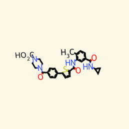 Cc1ccc(C(=O)NC2CC2)cc1NC(=O)c1ccc(-c2ccc(C(=O)N3CCN(C(=O)O)CC3)cc2)s1